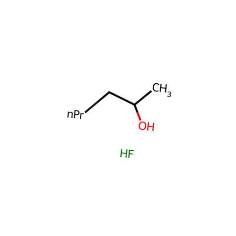 CCCCC(C)O.F